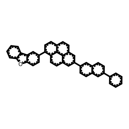 c1ccc(-c2ccc3cc(-c4cc5ccc6ccc(-c7ccc8oc9ccccc9c8c7)c7ccc(c4)c5c67)ccc3c2)cc1